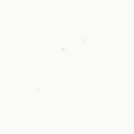 COc1cc([N+](=O)[O-])ccc1NC(=O)N=S(C)(C)=O